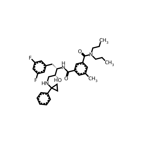 CCCN(CCC)C(=O)c1cc(C)cc(C(=O)N[C@@H](Cc2cc(F)cc(F)c2)[C@H](O)CNC2(c3ccccc3)CC2)c1